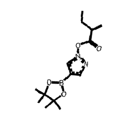 CCC(C)C(=O)On1cc(B2OC(C)(C)C(C)(C)O2)cn1